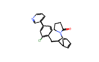 O=C1CCCN1C1C2C=CC(C2)C1Cc1ccc(-c2cccnc2)cc1Cl